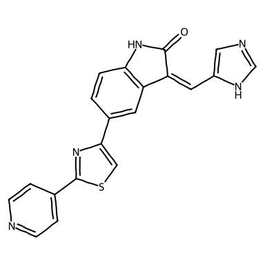 O=C1Nc2ccc(-c3csc(-c4ccncc4)n3)cc2/C1=C/c1cnc[nH]1